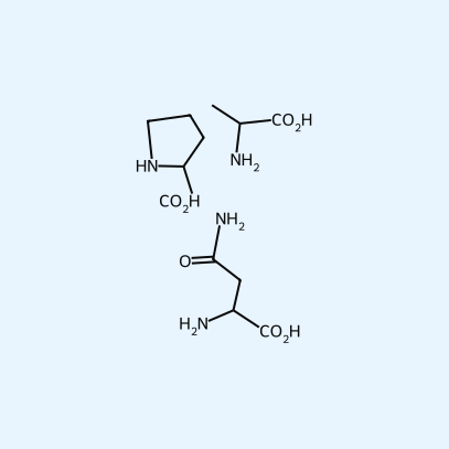 CC(N)C(=O)O.NC(=O)CC(N)C(=O)O.O=C(O)C1CCCN1